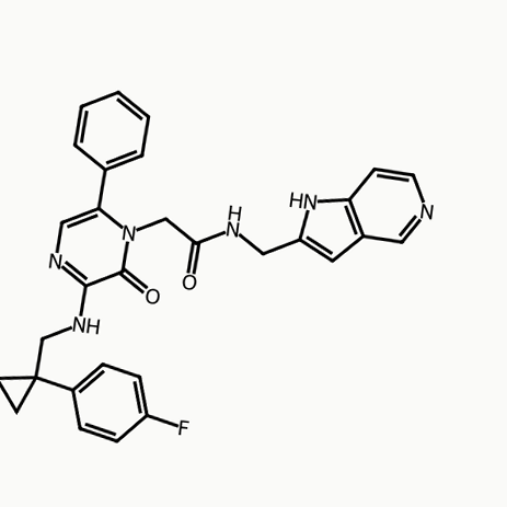 O=C(Cn1c(-c2ccccc2)cnc(NCC2(c3ccc(F)cc3)CC2)c1=O)NCc1cc2cnccc2[nH]1